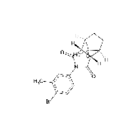 Cc1cc(N2C(=O)[C@@H]3[C@H](C2=O)[C@H]2CC[C@@H]3C2(O)O)ccc1Br